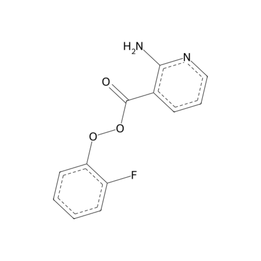 Nc1ncccc1C(=O)OOc1ccccc1F